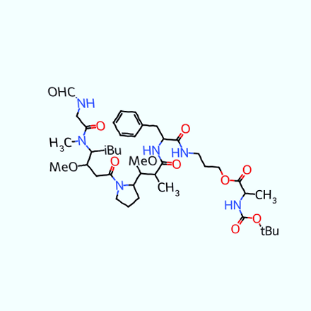 CCC(C)C(C(CC(=O)N1CCCC1C(OC)C(C)C(=O)NC(Cc1ccccc1)C(=O)NCCCOC(=O)C(C)NC(=O)OC(C)(C)C)OC)N(C)C(=O)CNC=O